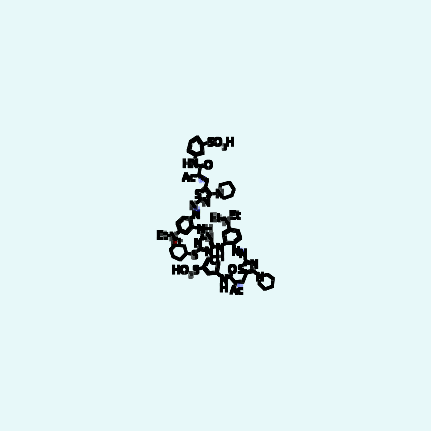 CCN(CC)c1ccc(/N=N/c2nc(N3CCCCC3)c(/C=C(/C(C)=O)C(=O)Nc3cccc(S(=O)(=O)O)c3)s2)c(Nc2nc(Nc3cc(N(CC)CC)ccc3/N=N/c3nc(N4CCCCC4)c(/C=C(\C(C)=O)C(=O)Nc4cccc(S(=O)(=O)O)c4)s3)nc(SC3CCCCC3)n2)c1